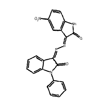 O=C1Nc2ccc([N+](=O)[O-])cc2C1=NN=C1C(=O)N(c2ccccc2)c2ccccc21